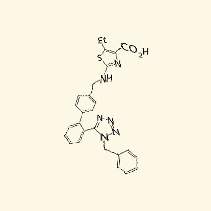 CCc1sc(NCc2ccc(-c3ccccc3-c3nnnn3Cc3ccccc3)cc2)nc1C(=O)O